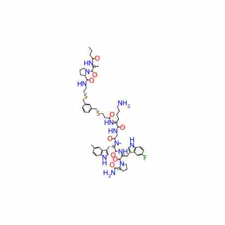 CCCC(=O)N[C@@H](C)C(=O)N1CCCC1C(=O)NCCSCc1cccc(CSCCC(=O)N[C@@H](CCCCN)C(=O)NCC(=O)N(C)[C@@H](Cc2c[nH]c3ccc(C)cc23)C(=O)N[C@@H](Cc2c[nH]c3ccc(F)cc23)C(=O)N2CCC[C@H]2C(N)=O)c1